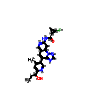 CC[C@@H](O)c1cc(C)c(-c2cc3cnc(NC(=O)[C@@H]4C[C@@H]4F)cc3n3ncnc23)cn1